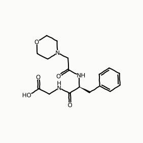 O=C(O)CNC(=O)[C@H](Cc1ccccc1)NC(=O)CN1CCOCC1